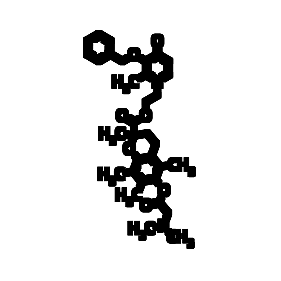 Cc1c(C)c2c(c(C)c1OC(=O)CN(C)C)CCC(C)(C(=O)OCCn1ccc(=O)c(OCc3ccccc3)c1C)O2